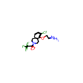 NCCOc1c(Cl)ccc2c1CCN(C(=O)C(F)(F)F)CC2